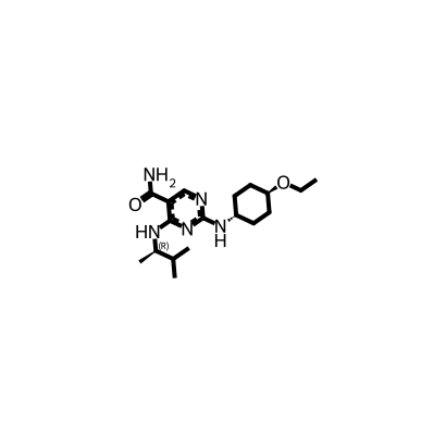 CCO[C@H]1CC[C@H](Nc2ncc(C(N)=O)c(N[C@H](C)C(C)C)n2)CC1